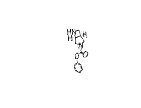 O=C(Oc1ccccc1)N1C[C@@H]2CN[C@@H]2C1